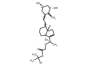 C=C1/C(=C\C=C2/CCC[C@]3(C)C(C(C)OCC(=O)OC(C)(C)CC)=CC[C@@H]23)C[C@@H](O)C[C@@H]1O